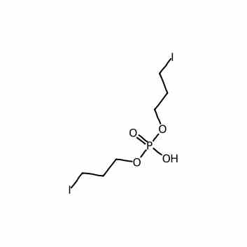 O=P(O)(OCCCI)OCCCI